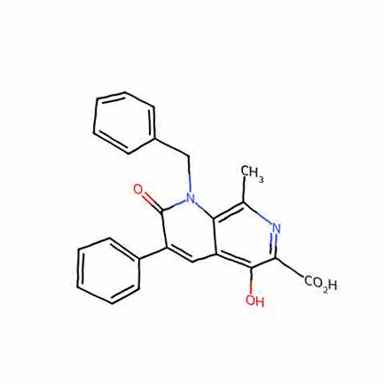 Cc1nc(C(=O)O)c(O)c2cc(-c3ccccc3)c(=O)n(Cc3ccccc3)c12